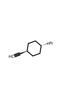 C#C[C@H]1CC[C@H](CCC)CC1